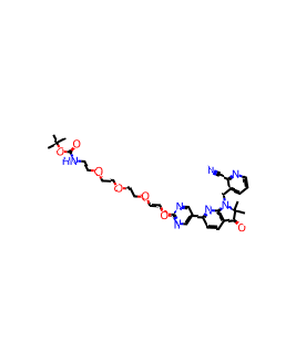 CC(C)(C)OC(=O)NCCOCCOCCOCCOc1ncc(-c2ccc3c(n2)N(Cc2cccnc2C#N)C(C)(C)C3=O)cn1